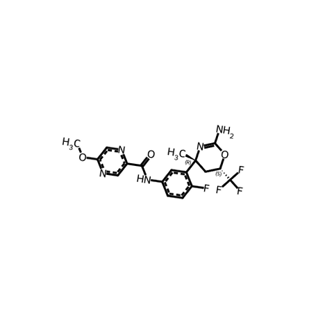 COc1cnc(C(=O)Nc2ccc(F)c([C@@]3(C)C[C@@H](C(F)(F)F)OC(N)=N3)c2)cn1